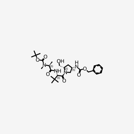 C[C@@H](C(=O)N[C@H](C(=O)N1C[C@@H](NC(=O)OCc2ccccc2)C[C@H]1CO)C(C)(C)C)N(C)C(=O)OC(C)(C)C